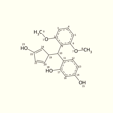 COc1cccc(OC)c1C(c1ccc(O)cc1O)C1C=CC(O)=C1